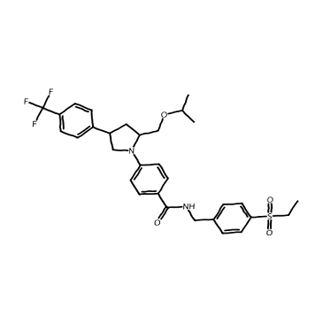 CCS(=O)(=O)c1ccc(CNC(=O)c2ccc(N3CC(c4ccc(C(F)(F)F)cc4)CC3COC(C)C)cc2)cc1